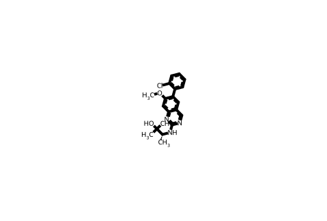 COc1cc2nc(N[C@H](C)C(C)(C)O)ncc2cc1-c1ccccc1Cl